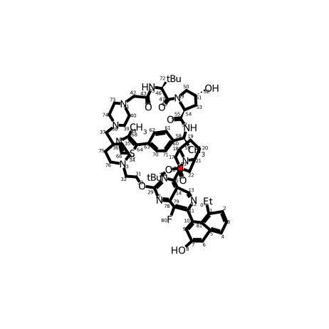 CCc1cccc2cc(O)cc(-c3ncc4c(N5CC6CCC(C5)N6C(=O)OC(C)(C)C)nc(OCCN5CCC(CN6CCN(CC(=O)N[C@H](C(=O)N7C[C@H](O)C[C@H]7C(=O)N[C@@H](C)c7ccc(-c8scnc8C)cc7)C(C)(C)C)CC6)CC5)nc4c3F)c12